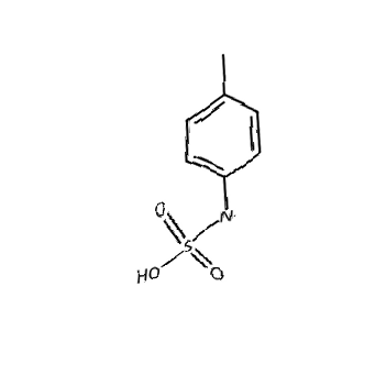 Cc1ccc([N]S(=O)(=O)O)cc1